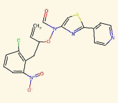 C=CC(Cc1c(Cl)cccc1[N+](=O)[O-])ON(C=O)c1csc(-c2ccncc2)n1